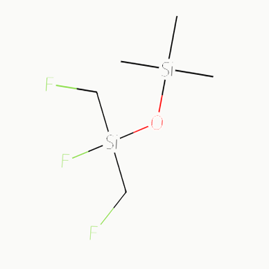 C[Si](C)(C)O[Si](F)(CF)CF